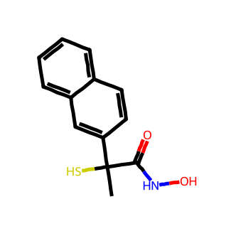 CC(S)(C(=O)NO)c1ccc2ccccc2c1